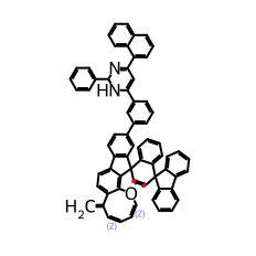 C=C1/C=C\C=C/Oc2c1ccc1c2C2(c3cc(-c4cccc(C5=CC(c6cccc7ccccc67)=NC(c6ccccc6)N5)c4)ccc3-1)c1ccccc1C1(c3ccccc3-c3ccccc31)c1ccccc12